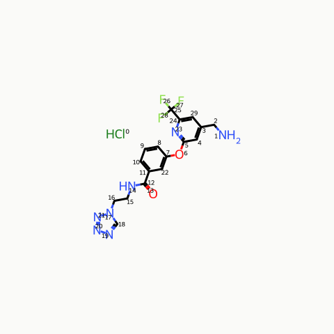 Cl.NCc1cc(Oc2cccc(C(=O)NCCn3cnnn3)c2)nc(C(F)(F)F)c1